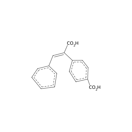 O=C(O)C(=Cc1ccccc1)c1ccc(C(=O)O)cc1